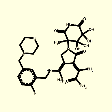 BC(=C)/C(B)=C1/C(=O)N(C2(B)C(=O)NC(=O)C(O)(O)C2(O)O)C/C1=C(/B)NCc1cc(CN2CCOCC2)ccc1F